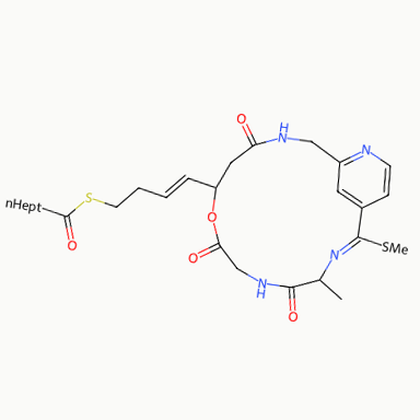 CCCCCCCC(=O)SCC/C=C/C1CC(=O)NCc2cc(ccn2)/C(SC)=N/C(C)C(=O)NCC(=O)O1